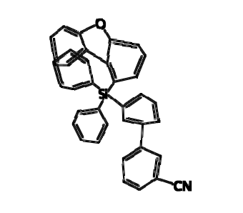 N#Cc1cccc(-c2cccc([Si](c3ccccc3)(c3ccccc3)c3cccc4oc5ccccc5c34)c2)c1